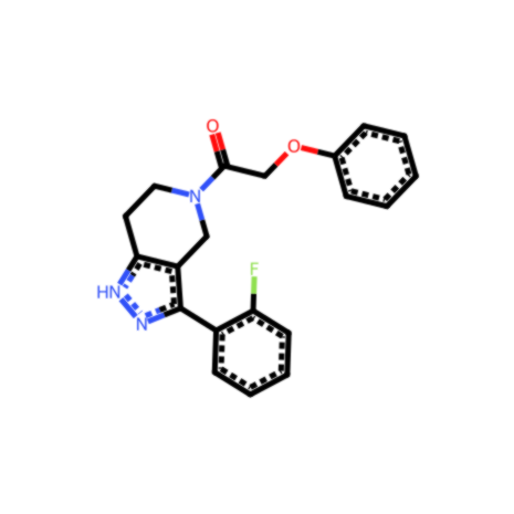 O=C(COc1ccccc1)N1CCc2[nH]nc(-c3ccccc3F)c2C1